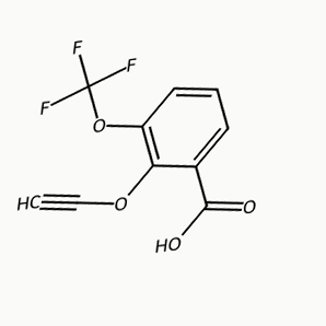 C#COc1c(OC(F)(F)F)cccc1C(=O)O